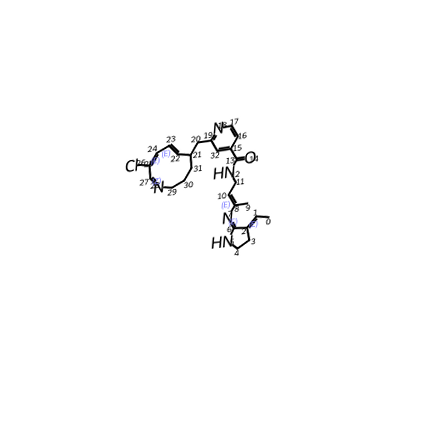 C\C=C1/CCN/C1=N/C(C)=C/CNC(=O)c1ccnc(CC2/C=C/C=C(Cl)\C=N/CCC2)c1